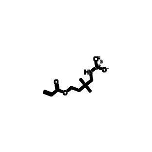 C=CC(=O)OCCC(C)(C)CN[S+]([O-])C(F)(F)F